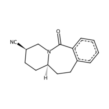 N#C[C@@H]1CC[C@@H]2CCc3ccccc3C(=O)N2C1